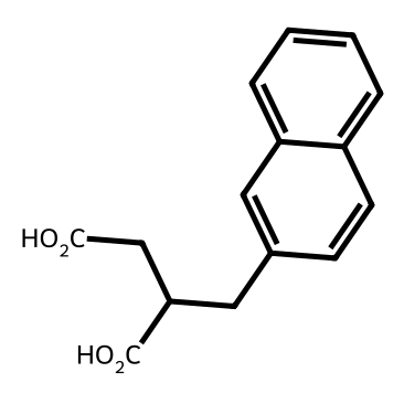 O=C(O)CC(Cc1ccc2ccccc2c1)C(=O)O